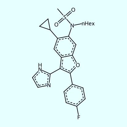 CCCCCCN(c1cc2oc(-c3ccc(F)cc3)c(-c3ncc[nH]3)c2cc1C1CC1)S(C)(=O)=O